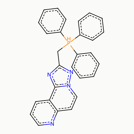 c1ccc([PH](Cc2nc3c4cccnc4ccn3n2)(c2ccccc2)c2ccccc2)cc1